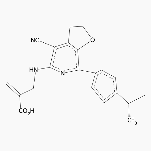 C=C(CNc1nc(-c2ccc([C@H](C)C(F)(F)F)cc2)c2c(c1C#N)CCO2)C(=O)O